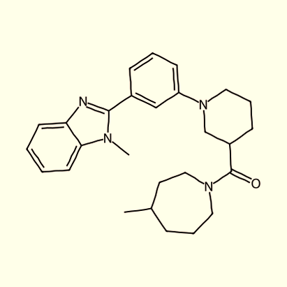 CC1CCCN(C(=O)C2CCCN(c3cccc(-c4nc5ccccc5n4C)c3)C2)CC1